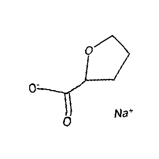 O=C([O-])C1CCCO1.[Na+]